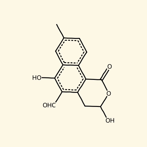 Cc1ccc2c3c(c(C=O)c(O)c2c1)CC(O)OC3=O